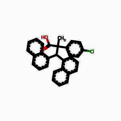 CC(C(=O)O)(c1ccc(Cl)cc1)C(c1cccc2ccccc12)c1cccc2ccccc12